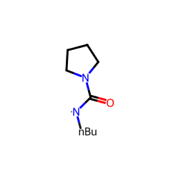 CCCC[N]C(=O)N1CCCC1